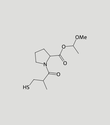 COC(C)OC(=O)C1CCCN1C(=O)C(C)CS